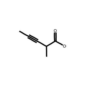 CC#CC(C)C([O])=O